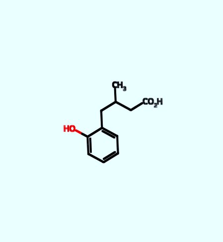 CC(CC(=O)O)Cc1ccccc1O